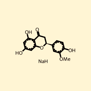 COc1cc([C@@H]2CC(=O)c3c(O)cc(O)cc3O2)ccc1O.[NaH]